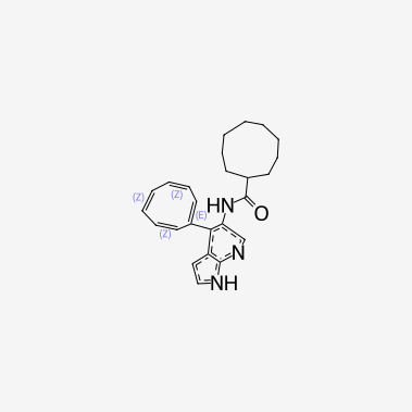 O=C(Nc1cnc2[nH]ccc2c1C1=C/C=C\C=C/C=C\1)C1CCCCCCCC1